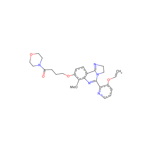 C=COc1cccnc1C1=Nc2c(ccc(OCCCC(=O)N3CCOCC3)c2OC)C2=NCCN21